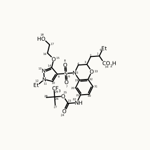 CCC(CC1CN(S(=O)(=O)c2cn(CC)nc2OCCO)c2cc(NC(=O)OC(C)(C)C(F)(F)F)ccc2O1)C(=O)O